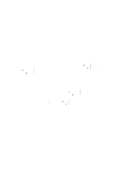 CCC(CCCN)(CCCN)NN